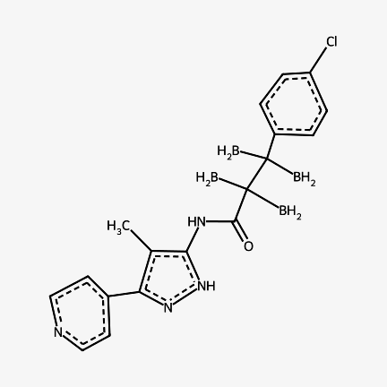 BC(B)(C(=O)Nc1[nH]nc(-c2ccncc2)c1C)C(B)(B)c1ccc(Cl)cc1